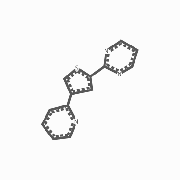 c1ccc(-c2csc(-c3ncccn3)c2)nc1